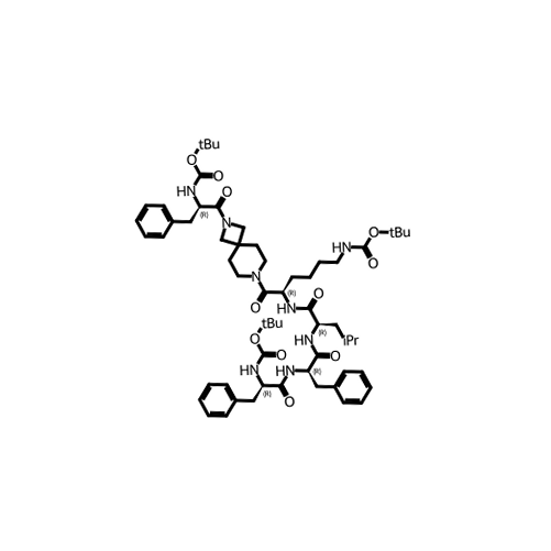 CC(C)C[C@@H](NC(=O)[C@@H](Cc1ccccc1)NC(=O)[C@@H](Cc1ccccc1)NC(=O)OC(C)(C)C)C(=O)N[C@H](CCCCNC(=O)OC(C)(C)C)C(=O)N1CCC2(CC1)CN(C(=O)[C@@H](Cc1ccccc1)NC(=O)OC(C)(C)C)C2